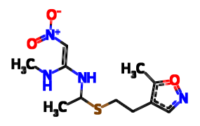 CNC(=C[N+](=O)[O-])NC(C)SCCc1cnoc1C